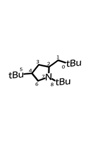 CC(C)(C)CC1CC(C(C)(C)C)CN1C(C)(C)C